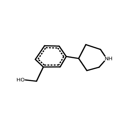 OCc1cccc(C2CCNCC2)c1